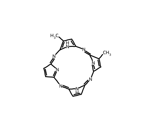 CC1=Cc2nc1nc1cc(C)c(nc3nc(nc4ccc(n2)[nH]4)C=C3)[nH]1